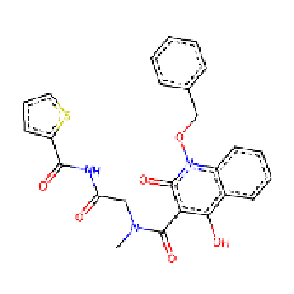 CN(CC(=O)NC(=O)c1cccs1)C(=O)c1c(O)c2ccccc2n(OCc2ccccc2)c1=O